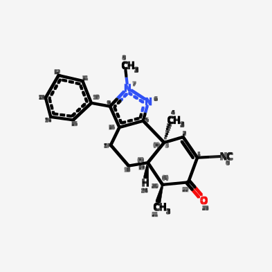 [C-]#[N+]C1=C[C@]2(C)c3nn(C)c(-c4ccccc4)c3CC[C@H]2[C@H](C)C1=O